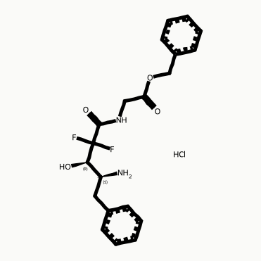 Cl.N[C@@H](Cc1ccccc1)[C@@H](O)C(F)(F)C(=O)NCC(=O)OCc1ccccc1